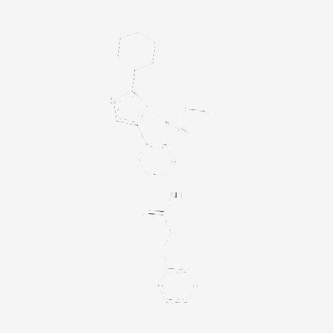 CC(C)(C)NS(=O)(=O)c1cc(NC(=O)COc2ccccc2)ccc1-c1cnc(C2CCCCC2)s1